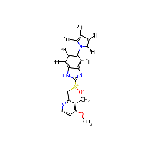 [2H]c1c(-n2c([2H])c([2H])c([2H])c2[2H])c([2H])c2nc([S+]([O-])Cc3nccc(OC)c3C)[nH]c2c1[2H]